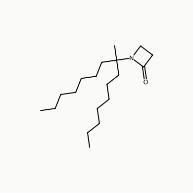 CCCCCCCC(C)(CCCCCCC)N1CCC1=O